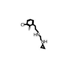 Fc1c(Cl)cccc1CCCNCCNC1CC1